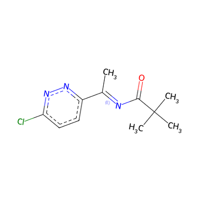 C/C(=N\C(=O)C(C)(C)C)c1ccc(Cl)nn1